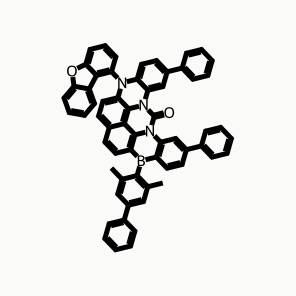 Cc1cc(-c2ccccc2)cc(C)c1B1c2ccc(-c3ccccc3)cc2-n2c(=O)n3c4cc(-c5ccccc5)ccc4n(-c4cccc5oc6ccccc6c45)c4ccc5ccc1c2c5c4-3